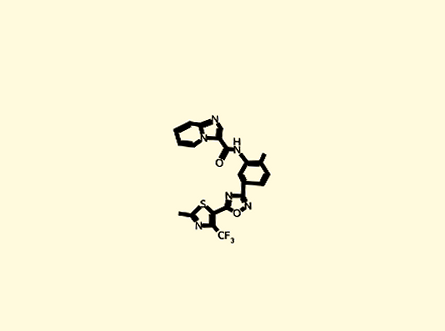 Cc1nc(C(F)(F)F)c(-c2nc(-c3ccc(C)c(NC(=O)c4cnc5ccccn45)c3)no2)s1